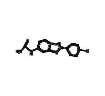 NC(=S)Nc1ccc2nn(-c3ccc(Cl)cc3)nc2c1